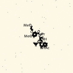 COCCCOc1cc(C(=O)N(C[C@@H]2CNC[C@H]2CN(C(=O)C[C@H](NC(C)=O)c2ccccc2)C2CC2)C(C)C)ccc1OC